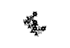 CCC(CC(=O)OC(OC(=O)C(NC(=O)C(C)OP(=O)(OCc1ccccc1)OCc1ccccc1)C(C)C)C(C)C)c1ccc(N(CC(C)C)CC(C)C)c(NC(=O)Nc2ccc(C)cc2)c1